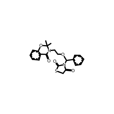 CC1(C)Oc2ccccc2C(=O)N1CCOC(c1ccccc1)N1C(=O)CSC1=O